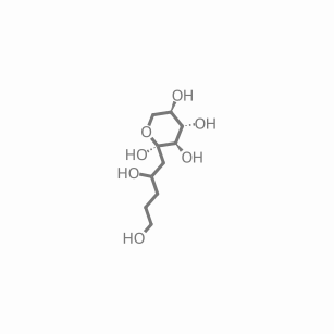 OCCCC(O)C[C@@]1(O)OC[C@@H](O)[C@H](O)[C@H]1O